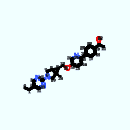 CCc1cnc(N2CC3[C@@H](COc4ccc(-c5ccc(C(C)=O)cc5)nc4)[C@]3(C)C2)nc1